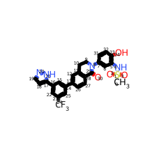 CS(=O)(=O)Nc1cc(N2CCc3cc(-c4cc(-c5ccn[nH]5)cc(C(F)(F)F)c4)ccc3C2=O)ccc1O